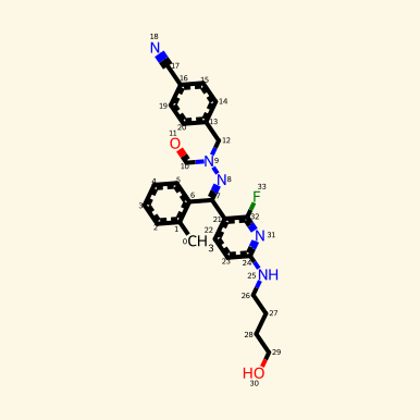 Cc1ccccc1/C(=N\N(C=O)Cc1ccc(C#N)cc1)c1ccc(NCCCCO)nc1F